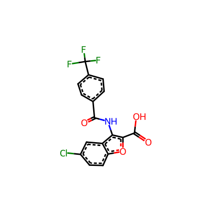 O=C(Nc1c(C(=O)O)oc2ccc(Cl)cc12)c1ccc(C(F)(F)F)cc1